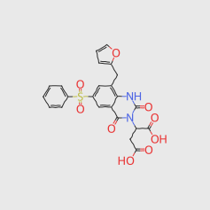 O=C(O)CC(C(=O)O)n1c(=O)[nH]c2c(Cc3ccco3)cc(S(=O)(=O)c3ccccc3)cc2c1=O